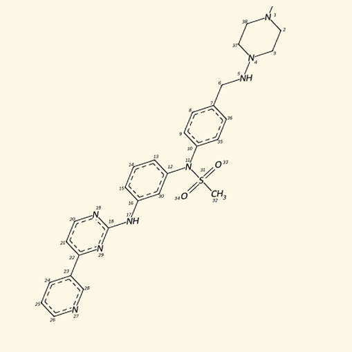 CN1CCN(NCc2ccc(N(c3cccc(Nc4nccc(-c5cccnc5)n4)c3)S(C)(=O)=O)cc2)CC1